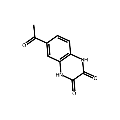 CC(=O)c1ccc2[nH]c(=O)c(=O)[nH]c2c1